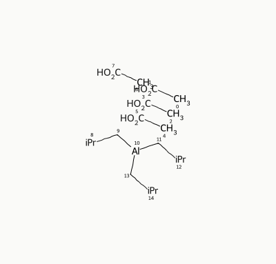 CC(=O)O.CC(=O)O.CC(=O)O.CC(=O)O.CC(C)[CH2][Al]([CH2]C(C)C)[CH2]C(C)C